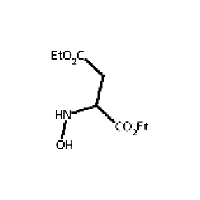 CCOC(=O)CC(NO)C(=O)OCC